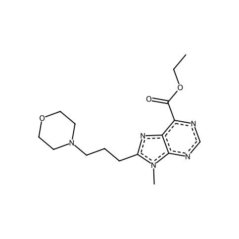 CCOC(=O)c1ncnc2c1nc(CCCN1CCOCC1)n2C